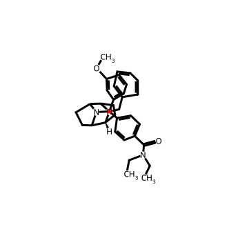 CCN(CC)C(=O)c1ccc(C(c2cccc(OC)c2)N2C3CCC2[C@H]2CCC3N2Cc2ccccc2)cc1